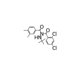 Cc1ccc(C(=O)N(NC(C)(C)C)C(=O)c2ccc(Cl)cc2Cl)cc1C